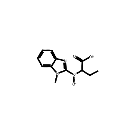 CCC(C(=O)O)[S+]([O-])c1nc2ccccc2n1C